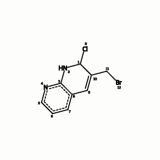 ClC1Nc2ncccc2C=C1CBr